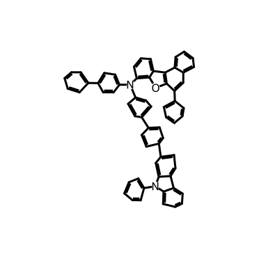 c1ccc(-c2ccc(N(c3ccc(-c4ccc(-c5ccc6c7ccccc7n(-c7ccccc7)c6c5)cc4)cc3)c3cccc4c3oc3c(-c5ccccc5)cc5ccccc5c34)cc2)cc1